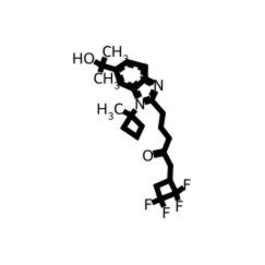 CC(C)(O)c1ccc2nc(CCCC(=O)CC3CC(F)(F)C3(F)F)n(C3(C)CCC3)c2c1